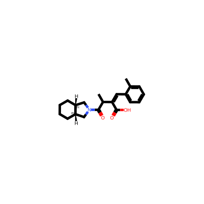 Cc1ccccc1C=C(C(=O)O)C(C)C(=O)N1C[C@H]2CCCC[C@H]2C1